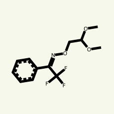 COC(CON=C(c1ccccc1)C(F)(F)F)OC